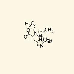 C=CC[N+](CC=C)(CC=C)C(Cc1cnc(S)[nH]1)C(=O)[O-]